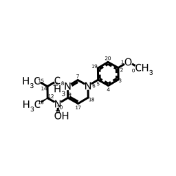 COc1ccc(N2C=NC(N(O)[C@@H](C)C(C)C)=CC2)cc1